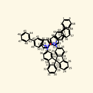 c1ccc(-c2ccc(N(c3ccccc3)c3ccc4c(c3)C3(c5ccccc5-4)c4ccccc4-c4ccc(N(c5ccc(-c6ccccc6)cc5)c5ccc(-c6ccccc6)cc5)cc43)cc2)cc1